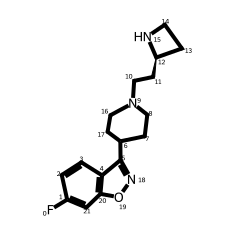 Fc1ccc2c(C3CCN(CC[C@@H]4CCN4)CC3)noc2c1